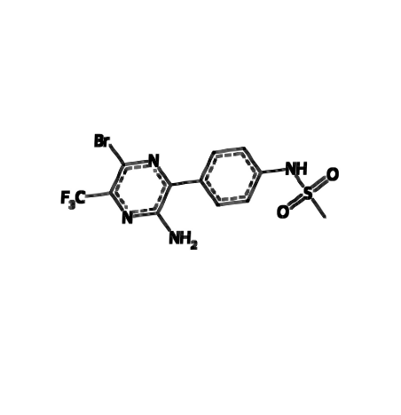 CS(=O)(=O)Nc1ccc(-c2nc(Br)c(C(F)(F)F)nc2N)cc1